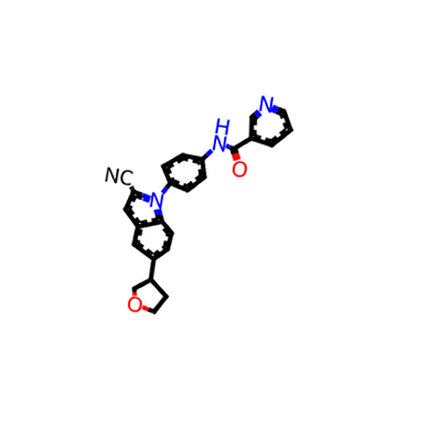 N#Cc1cc2cc(C3CCOC3)ccc2n1-c1ccc(NC(=O)c2cccnc2)cc1